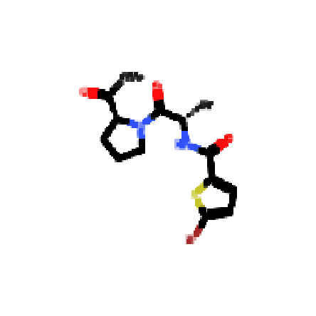 COC(=O)[C@@H]1CCCN1C(=O)[C@@H](NC(=O)c1ccc(Br)s1)C(C)C